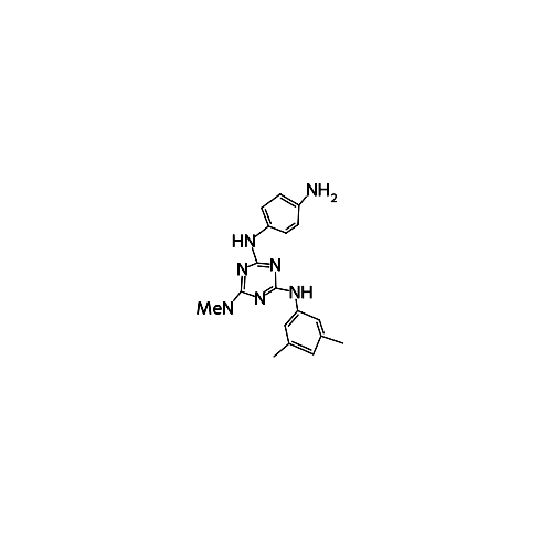 CNc1nc(Nc2ccc(N)cc2)nc(Nc2cc(C)cc(C)c2)n1